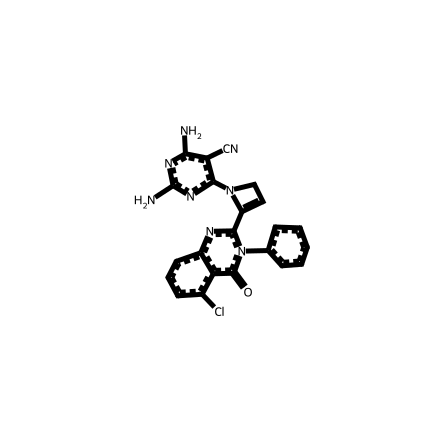 N#Cc1c(N)nc(N)nc1N1CC=C1c1nc2cccc(Cl)c2c(=O)n1-c1ccccc1